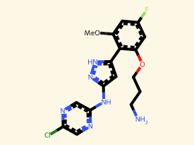 COc1cc(F)cc(OCCCN)c1-c1cc(Nc2cnc(Cl)cn2)n[nH]1